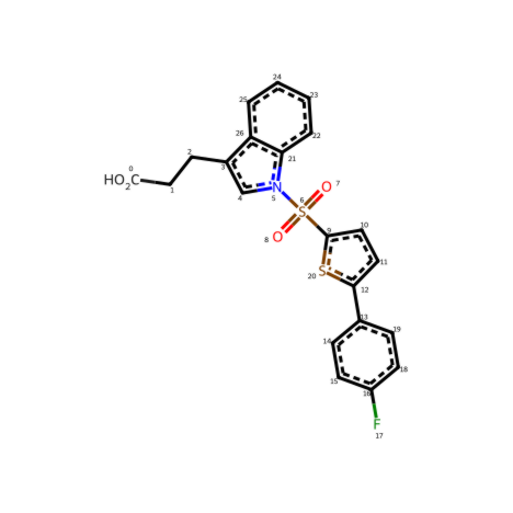 O=C(O)CCc1cn(S(=O)(=O)c2ccc(-c3ccc(F)cc3)s2)c2ccccc12